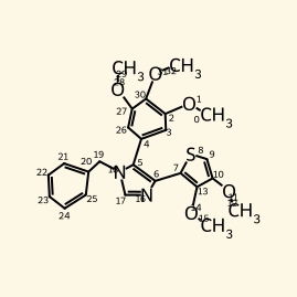 COc1cc(-c2c(-c3scc(OC)c3OC)ncn2Cc2ccccc2)cc(OC)c1OC